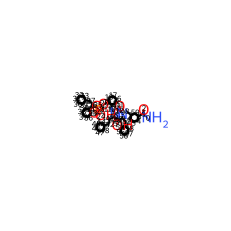 NC(=O)c1cccc(CN2C(=O)N(Cc3ccccc3OCP(=O)(O)OC(Cc3ccccc3)c3ccccc3)C(CCc3ccccc3)=C(O)C2Cc2ccccc2)c1